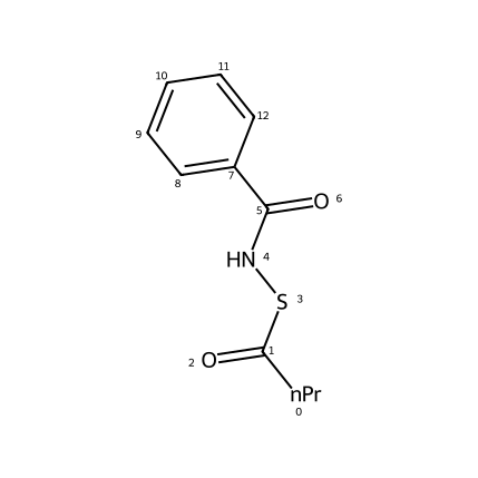 CCCC(=O)SNC(=O)c1ccccc1